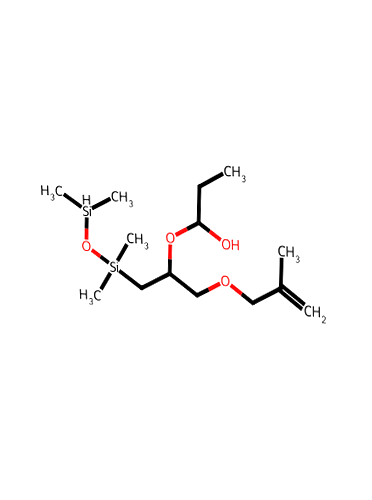 C=C(C)COCC(C[Si](C)(C)O[SiH](C)C)OC(O)CC